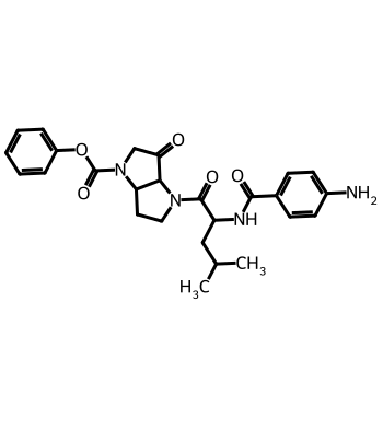 CC(C)CC(NC(=O)c1ccc(N)cc1)C(=O)N1CCC2C1C(=O)CN2C(=O)Oc1ccccc1